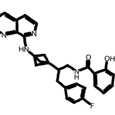 O=C(NCC(Cc1ccc(F)cc1)C12CC(Nc3nccc4cccnc34)(C1)C2)c1ccccc1O